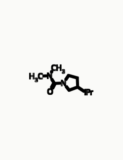 CC(C)C1CCN(C(=O)N(C)C)C1